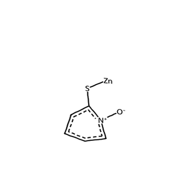 [O-][n+]1ccccc1[S][Zn]